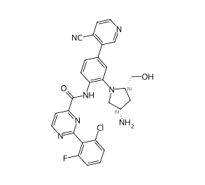 N#Cc1ccncc1-c1ccc(NC(=O)c2ccnc(-c3c(F)cccc3Cl)n2)c(N2C[C@@H](N)C[C@H]2CO)c1